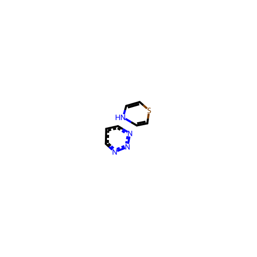 C1=CSC=CN1.c1cnnnc1